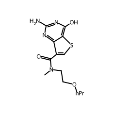 CCCOCCN(C)C(=O)c1csc2c(O)nc(N)nc12